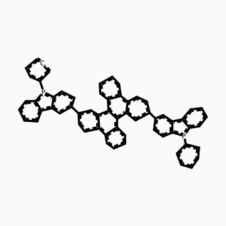 c1ccc(-p2c3ccccc3c3cc(-c4ccc5c6ccccc6c6c7cc(-c8ccc9c(c8)c8ccccc8p9-c8ccccc8)ccc7c7ccccc7c6c5c4)ccc32)cc1